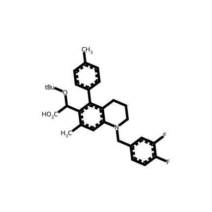 Cc1ccc(-c2c3c(cc(C)c2C(OC(C)(C)C)C(=O)O)N(Cc2ccc(F)c(F)c2)CCC3)cc1